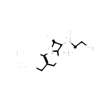 CC(=O)OCC1=C(C(=O)O)N2C(=O)[C@@H](NC(=O)CBr)[C@H]2SC1